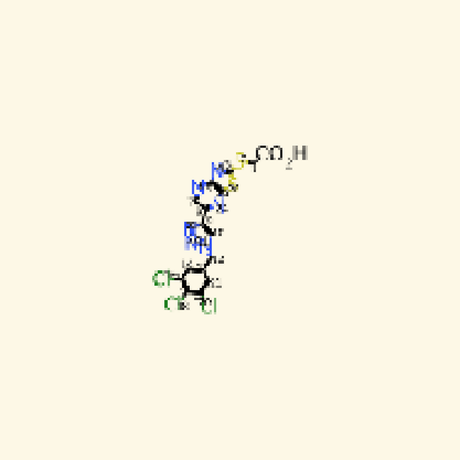 O=C(O)CSc1nc2ncc(-c3cn(Cc4cc(Cl)c(Cl)c(Cl)c4)nn3)nc2s1